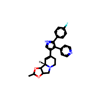 CC1OC2CN3CCC(c4c[nH]c(-c5ccc(F)cc5)c4-c4ccncc4)=C[C@H]3C2O1